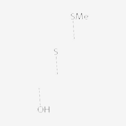 CSCSCCO